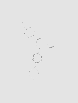 CC(=O)O.CCN1CCC(C(=O)NCc2ccc(N3CCNCC3)cc2)CC1